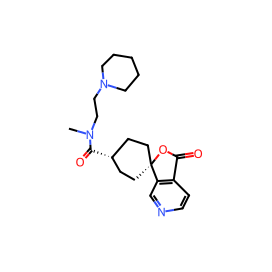 CN(CCN1CCCCC1)C(=O)[C@H]1CC[C@]2(CC1)OC(=O)c1ccncc12